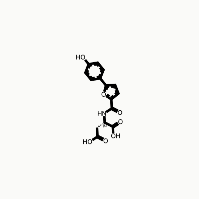 O=C(O)C[C@H](NC(=O)c1ccc(-c2ccc(O)cc2)o1)C(=O)O